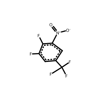 O=[N+]([O-])c1cc(C(F)(F)F)cc(F)c1F